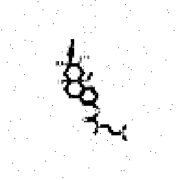 CC#C[C@]1(O)C[C@H]2CCc3cc(OC(=O)N(C)CCN(C)C)ccc3[C@]2(CC)C[C@@H]1O